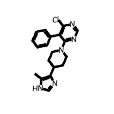 Cc1[nH]cnc1C1CCN(c2ncnc(Cl)c2-c2ccccc2)CC1